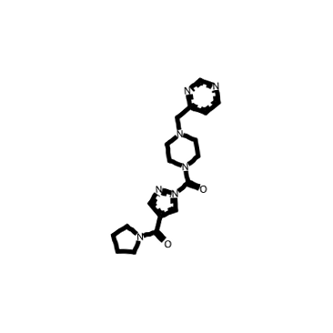 O=C(c1cnn(C(=O)N2CCN(Cc3ccncn3)CC2)c1)N1CCCC1